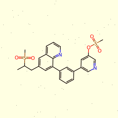 CC(Cc1cc(-c2cccc(-c3cncc(OS(C)(=O)=O)c3)c2)c2ncccc2c1)S(C)(=O)=O